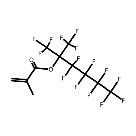 C=C(C)C(=O)OC(C(F)(F)F)(C(F)(F)F)C(F)(F)C(F)(F)C(F)(F)C(F)(F)F